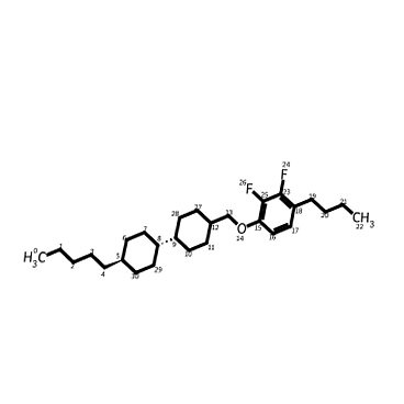 CCCCC[C@H]1CC[C@H](C2CCC(COc3ccc(CCCC)c(F)c3F)CC2)CC1